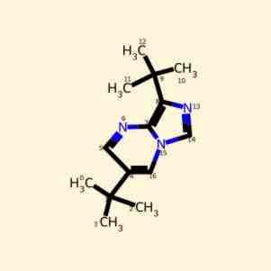 CC(C)(C)c1cnc2c(C(C)(C)C)ncn2c1